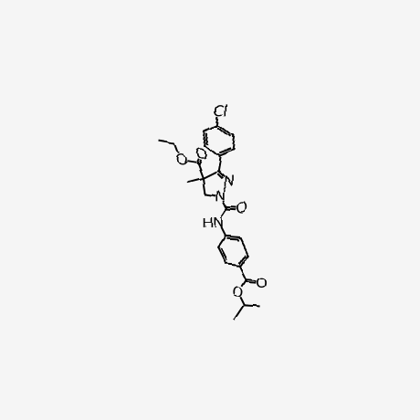 CCOC(=O)C1(C)CN(C(=O)Nc2ccc(C(=O)OC(C)C)cc2)N=C1c1ccc(Cl)cc1